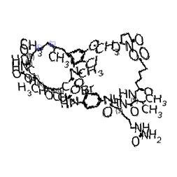 COc1cc2cc(c1Cl)N(C)C(=O)C[C@H](OC(=O)Nc1ccc(NC(=O)[C@H](CCCNC(N)=O)NC(=O)[C@@H](NC(=O)CCCCC(=O)ON3C(=O)CCC3=O)C(C)C)cc1Br)[C@]1(C)O[C@H]1[C@H](C)[C@@H]1C[C@@](O)(NC(=O)O1)[C@H](OC)/C=C/C=C(\C)C2